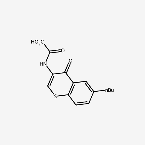 CCCCc1ccc2scc(NC(=O)C(=O)O)c(=O)c2c1